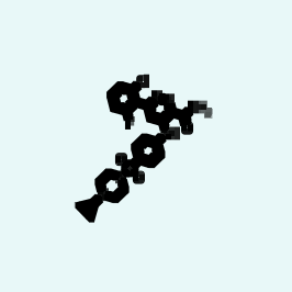 NC(=O)c1nnc(-c2c(F)cccc2Cl)cc1Nc1ccc(S(=O)(=O)N2CCN(C3CC3)CC2)cc1